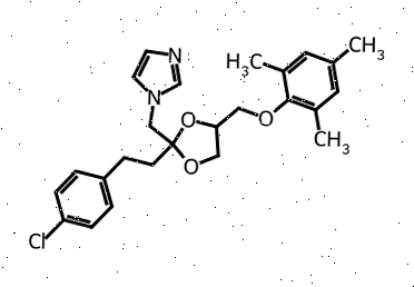 Cc1cc(C)c(OCC2COC(CCc3ccc(Cl)cc3)(Cn3ccnc3)O2)c(C)c1